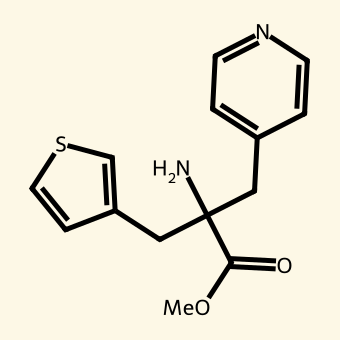 COC(=O)C(N)(Cc1ccncc1)Cc1ccsc1